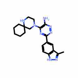 Cc1n[nH]c2ccc(-c3nnc(N)c(N4CCNC5(CCCCC5)C4)n3)cc12